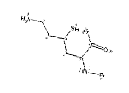 CC(C)NC(CC(S)CCN)C(=O)C(C)C